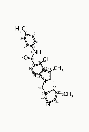 Cc1ccc(NC(=O)c2cnc3c(c(C)cn3Cc3cncc(C)c3)c2Cl)cc1